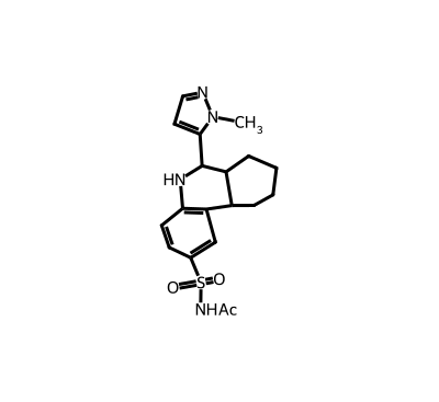 CC(=O)NS(=O)(=O)c1ccc2c(c1)C1CCCCC1C(c1ccnn1C)N2